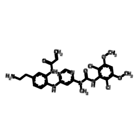 C=CC(=O)Nc1cc(CCN)ccc1Nc1cc(N(C)C(=O)Nc2c(Cl)c(OC)cc(OC)c2Cl)ncn1